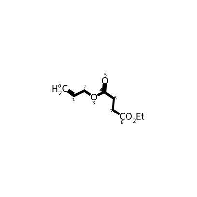 C=CCOC(=O)CCC(=O)OCC